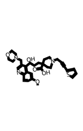 COc1ccc2ncc(CN3CCOCC3)c([C@@H](O)CCC3(C(=O)O)CCN(CC#Cc4cccs4)CC3)c2c1